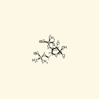 CC(C)(C)[Si](C)(C)OC[C@H]1O[C@@](O)(Cl)[C@@H](Cl)[C@@H]1O[Si](C)(C)C(C)(C)C